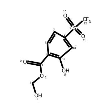 O=C(OCO)c1ccc(S(=O)(=O)C(F)(F)F)cc1O